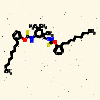 CCCCCCCCCc1ccccc1OC(=S)NCC1(C)CC(NC(=S)Oc2ccccc2CCCCCCCCC)CC(C)(C)C1